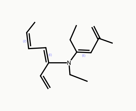 C=C/C(=C\C=C/C)N(CC)/C(=C/C(=C)C)CC